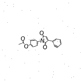 CC(=O)Oc1ccc(N2C(=O)C=C(c3c#cccc3)C2=O)cc1